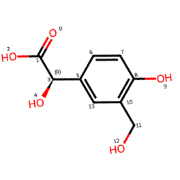 O=C(O)[C@H](O)c1ccc(O)c(CO)c1